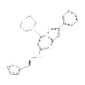 C(=N\Nc1cc(N2CCOCC2)n2nc(-c3ccccc3)cc2n1)/c1cccs1